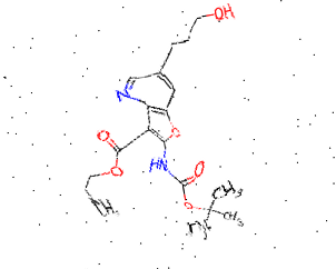 CCOC(=O)c1c(NC(=O)OC(C)(C)C)oc2cc(CCCO)cnc12